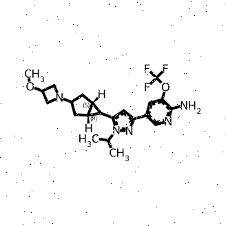 COC1CN(C2C[C@@H]3C(c4cc(-c5cnc(N)c(OC(F)(F)F)c5)nn4C(C)C)[C@@H]3C2)C1